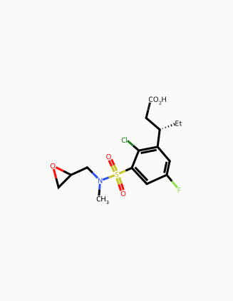 CC[C@@H](CC(=O)O)c1cc(F)cc(S(=O)(=O)N(C)CC2CO2)c1Cl